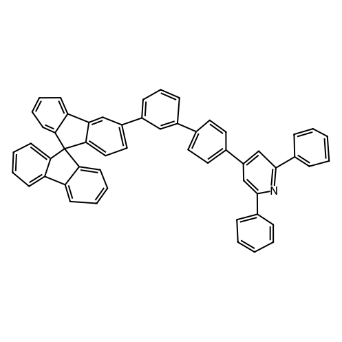 c1ccc(-c2cc(-c3ccc(-c4cccc(-c5ccc6c(c5)-c5ccccc5C65c6ccccc6-c6ccccc65)c4)cc3)cc(-c3ccccc3)n2)cc1